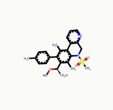 Cc1ccc(-c2c(C)c3c(c(C)c2[C@H](OC(C)(C)C)C(=O)O)N(S(C)(=O)=O)Cc2ncccc2-3)cc1